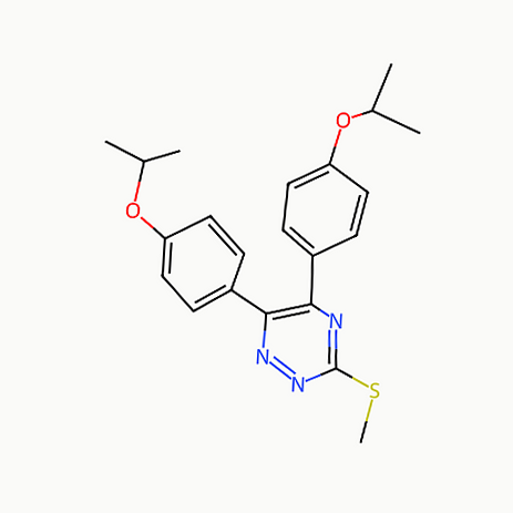 CSc1nnc(-c2ccc(OC(C)C)cc2)c(-c2ccc(OC(C)C)cc2)n1